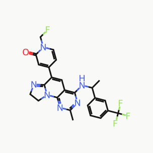 Cc1nc(NC(C)c2cccc(C(F)(F)F)c2)c2c(n1)N1CCN=C1C(c1ccn(CF)c(=O)c1)=C2